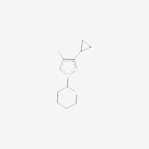 Ic1cn(C2CCCCO2)nc1C1CC1